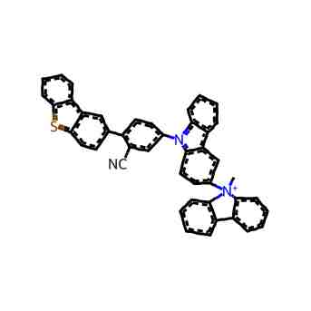 C[N+]1(c2ccc3c(c2)c2ccccc2n3-c2ccc(-c3ccc4sc5ccccc5c4c3)c(C#N)c2)c2ccccc2-c2ccccc21